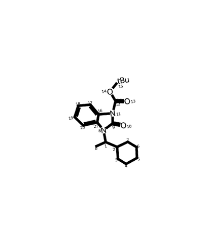 CC(C1CCCCC1)n1c(=O)n(C(=O)OC(C)(C)C)c2ccccc21